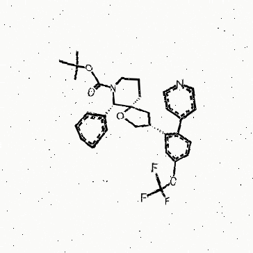 CC(C)(C)OC(=O)N1CCC[C@@]2(C[C@H](c3cc(OC(F)(F)F)ccc3-c3ccncc3)CO2)[C@@H]1c1ccccc1